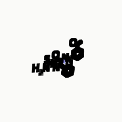 CC(=O)c1cccc(N/N=C2/C(=O)N(C(N)=S)N=C2c2ccccc2)c1